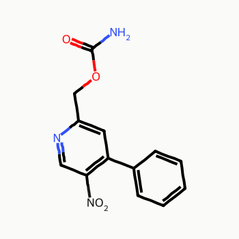 NC(=O)OCc1cc(-c2ccccc2)c([N+](=O)[O-])cn1